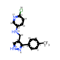 FC(F)(F)c1ccc(-c2n[nH]cc2CNc2ccc(Cl)nc2)cc1